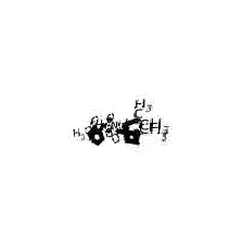 CC(C)CC1(C(=O)NS(=O)(=O)CC23CCC(CC2=O)C3(C)C)CCC1C